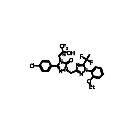 CCOc1ccccc1-n1nc(Cn2nc(-c3ccc(Cl)cc3)n(C[C@H](O)C(F)(F)F)c2=O)nc1C(C)(F)F